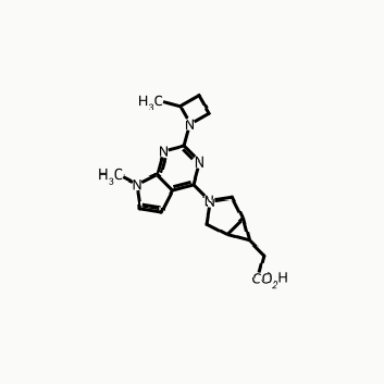 CC1CCN1c1nc(N2CC3C(CC(=O)O)C3C2)c2ccn(C)c2n1